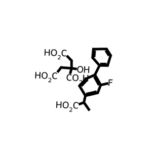 CC(C(=O)O)c1ccc(-c2ccccc2)c(F)c1.O=C(O)CC(O)(CC(=O)O)C(=O)O